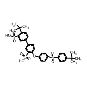 CC(C)(C)c1ccc(S(=O)(=O)c2ccc(Oc3ccc(-c4ccc(C(C)(C)C)c(S(=O)(=O)O)c4)cc3S(=O)(=O)O)cc2)cc1